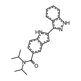 CC(C)N(C(=O)c1ccc2[nH]c(-c3n[nH]c4ccccc34)cc2c1)C(C)C